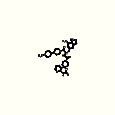 Cc1cc(C[C@@H](NC(=O)N2CCC3(CC2)OC(=O)Nc2ncccc23)C(=O)N2CCN(C3CCN(C)CC3)CC2)cc2cn[nH]c12